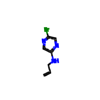 C=CCNc1cnc(Br)cn1